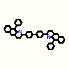 c1ccc(-c2c3ccccc3cc3ccc(-c4ccc(-c5ccc(-c6ccc7cc8ccccc8c(-c8ccccc8)c7n6)cc5)cc4)nc23)cc1